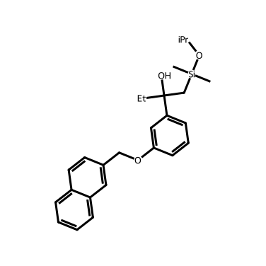 CCC(O)(C[Si](C)(C)OC(C)C)c1cccc(OCc2ccc3ccccc3c2)c1